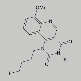 CCn1c(=O)c2cnc3c(OC)cccc3c2n(CCCCF)c1=O